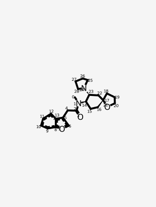 CN(C(=O)Cc1coc2ccccc12)[C@@H]1CC[C@]2(CCCO2)C[C@H]1N1CCCC1